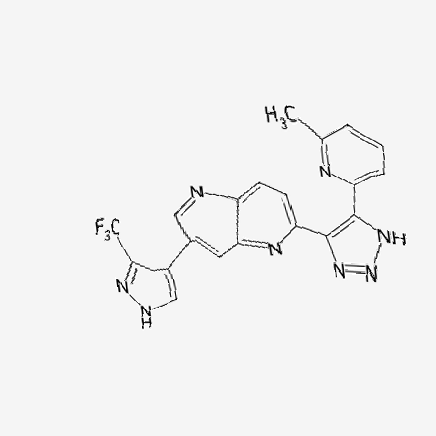 Cc1cccc(-c2[nH]nnc2-c2ccc3ncc(-c4c[nH]nc4C(F)(F)F)cc3n2)n1